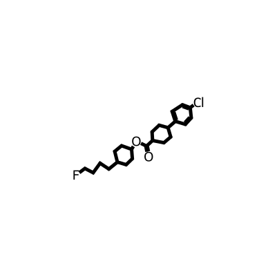 O=C(OC1CCC(CCCCF)CC1)C1CCC(c2ccc(Cl)cc2)CC1